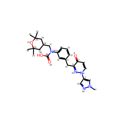 Cn1cc(-n2ccc(=O)c(Cc3cccc(N(CC4CC(C)(C)OC(C)(C)C4)C(=O)O)c3)n2)cn1